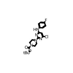 CC(C)(C)OC(=O)N1CCN(c2nc(Cl)cc(Nc3ccc(F)cc3)n2)CC1